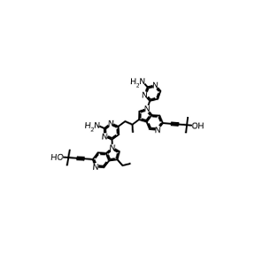 CCc1cn(-c2cc(CC(C)c3cn(-c4ccnc(N)n4)c4cc(C#CC(C)(C)O)ncc34)nc(N)n2)c2cc(C#CC(C)(C)O)ncc12